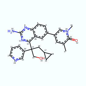 Cc1cc(-c2ccc3nc(N)nc(C(CO)(CC4CC4)c4cccnc4)c3c2)cn(C)c1=O